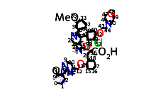 C/C=C\C(=C(/C)OC)c1nccc(COc2ccccc2CC(Oc2nsc3cnc(-c4cccc(OC)c4)c(-c4ccc(OCCN5CCOCC5)c(Cl)c4C)c23)C(=O)O)n1